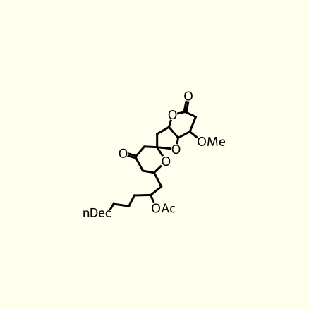 CCCCCCCCCCCCCC(CC1CC(=O)CC2(CC3OC(=O)CC(OC)C3O2)O1)OC(C)=O